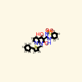 O=c1c(C2=NS(=O)(=O)c3ccccc3N2)c(O)c2cccnc2n1Cc1ccc(-c2ccccc2)s1